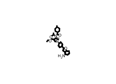 CCOC(=O)c1cn(-c2ccc(-c3cc4c(N)cccc4o3)cc2)nc1N(C(=O)C1CCC(C)CC1)C(C)C